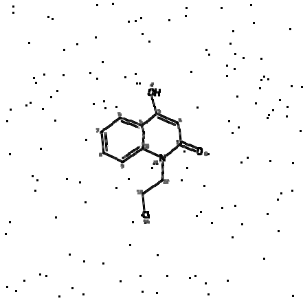 O=c1cc(O)c2ccccc2n1CCCl